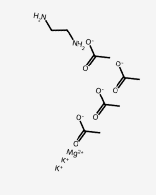 CC(=O)[O-].CC(=O)[O-].CC(=O)[O-].CC(=O)[O-].NCCN.[K+].[K+].[Mg+2]